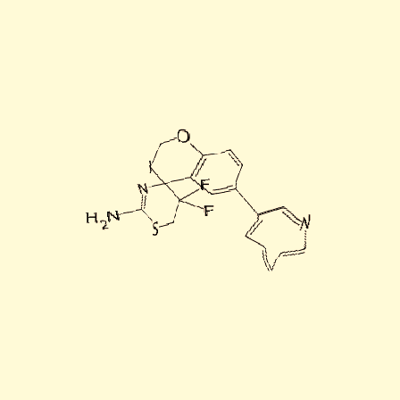 NC1=NC2(c3cc(C4=C/C=C/C=C/N=C\4)ccc3OCC23CC3)C(F)(F)CS1